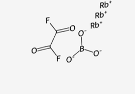 O=C(F)C(=O)F.[O-]B([O-])[O-].[Rb+].[Rb+].[Rb+]